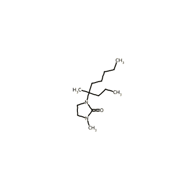 CCCCCC(C)(CCC)N1CCN(C)C1=O